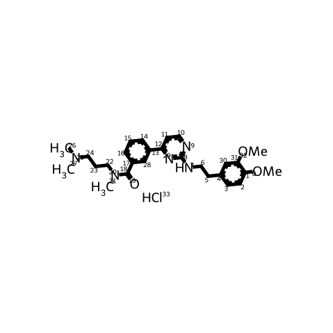 COc1ccc(CCNc2nccc(-c3cccc(C(=O)N(C)CCCN(C)C)c3)n2)cc1OC.Cl